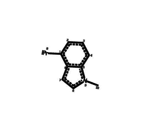 CC(C)c1cccc2c1ccn2C